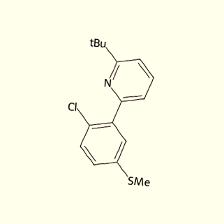 CSc1ccc(Cl)c(-c2cccc(C(C)(C)C)n2)c1